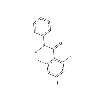 [Li][P](C(=O)c1c(C)cc(C)cc1C)c1ccccc1